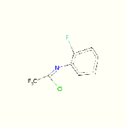 Fc1ccccc1N=C(Cl)C(F)(F)F